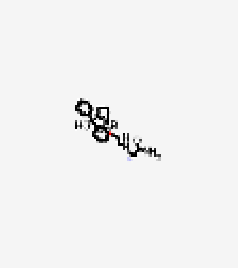 NC(=O)/C=C\NCCCS(=O)(=O)N1CCC[C@@H]1C(O)(c1ccccc1)c1ccccc1